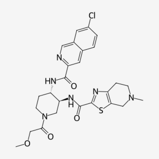 COCC(=O)N1CC[C@H](NC(=O)c2cc3ccc(Cl)cc3cn2)[C@@H](NC(=O)c2nc3c(s2)CN(C)CC3)C1